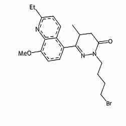 CCc1ccc2c(C3=NN(CCCCBr)C(=O)CC3C)ccc(OC)c2n1